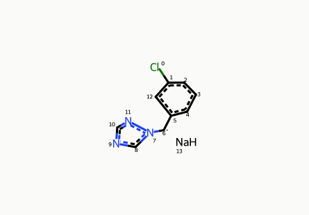 Clc1cccc([CH]n2cncn2)c1.[NaH]